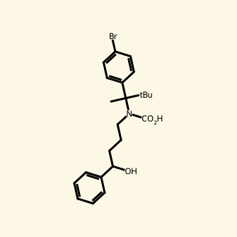 CC(C)(C)C(C)(c1ccc(Br)cc1)N(CCCC(O)c1ccccc1)C(=O)O